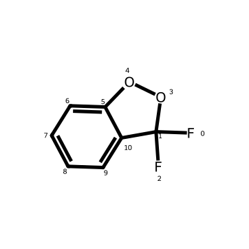 FC1(F)OOc2ccccc21